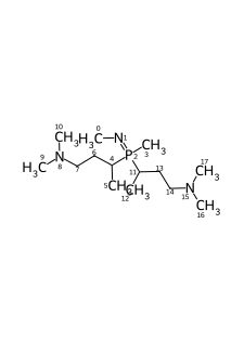 CN=P(C)(C(C)CCN(C)C)C(C)CCN(C)C